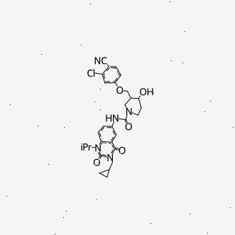 CC(C)n1c(=O)n(CC2CC2)c(=O)c2cc(NC(=O)N3CCC(O)C(COc4ccc(C#N)c(Cl)c4)C3)ccc21